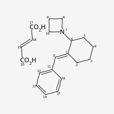 C(=C1CCCCC1N1CCC1)c1ccccc1.O=C(O)C=CC(=O)O